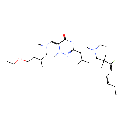 CC/C=C\C=C(\F)C(C)(C)CN(CC)C[C@@H](C1=NN(C)/C(=C\N(C)CC(C)CCOCC)C(=O)N1)C(C)C